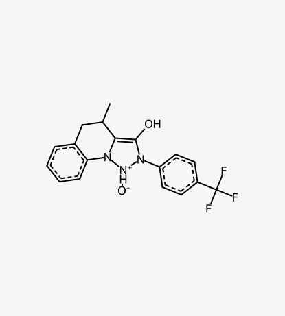 CC1Cc2ccccc2N2C1=C(O)N(c1ccc(C(F)(F)F)cc1)[NH+]2[O-]